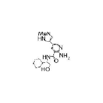 CN/C=C(\C=N)c1cnc(N)c(C(=O)NC(CO)C2CCCCC2)c1